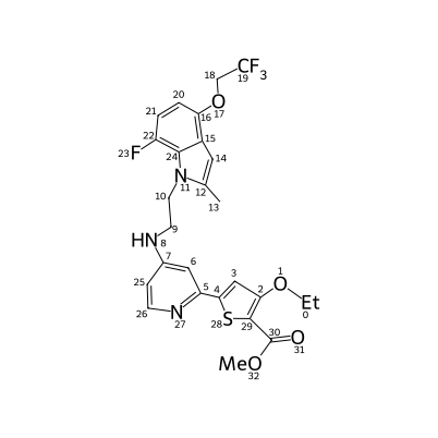 CCOc1cc(-c2cc(NCCn3c(C)cc4c(OCC(F)(F)F)ccc(F)c43)ccn2)sc1C(=O)OC